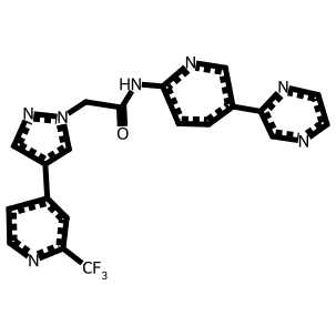 O=C(Cn1cc(-c2ccnc(C(F)(F)F)c2)cn1)Nc1ccc(-c2cnccn2)cn1